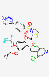 Cn1ccc(-c2ccc(S(=O)(=O)N3CCS[C@H]3C(=O)O[C@@H](Cc3c(Cl)cncc3Cl)c3ccc(OC(F)F)c(OCC4CC4)c3)cc2)n1